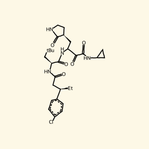 CC[C@H](CC(=O)N[C@@H](CC(C)(C)C)C(=O)NC(C[C@@H]1CCNC1=O)C(=O)C(=O)NC1CC1)c1ccc(Cl)cc1